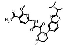 COc1nc(NC(=O)C(=O)N2C[C@@H](C)CC[C@@H]2c2ccc3sc(C(C)N(C)C)nc3c2)ccc1C(N)=O